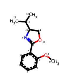 COc1ccccc1C1=NC(C(C)C)CO1